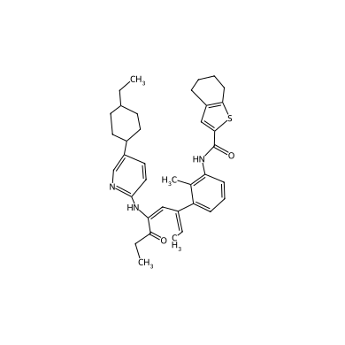 C/C=C(\C=C(\Nc1ccc(C2CCC(CC)CC2)cn1)C(=O)CC)c1cccc(NC(=O)c2cc3c(s2)CCCC3)c1C